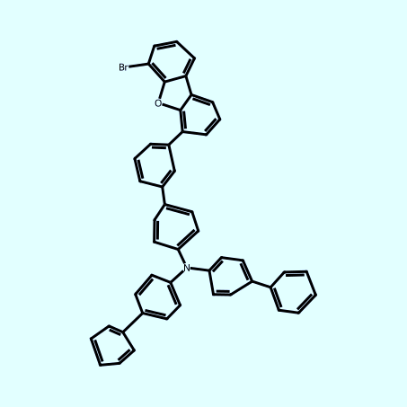 Brc1cccc2c1oc1c(-c3cccc(-c4ccc(N(c5ccc(-c6ccccc6)cc5)c5ccc(-c6ccccc6)cc5)cc4)c3)cccc12